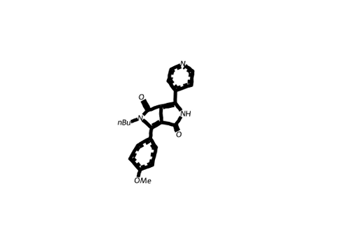 CCCCN1C(=O)C2=C(c3ccncc3)NC(=O)C2=C1c1ccc(OC)cc1